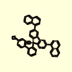 OC1(c2ccccc2-c2ccc(Cl)cc2)c2ccc(-c3cccc4ccccc34)cc2-c2cc(-c3cccc4ccccc34)ccc21